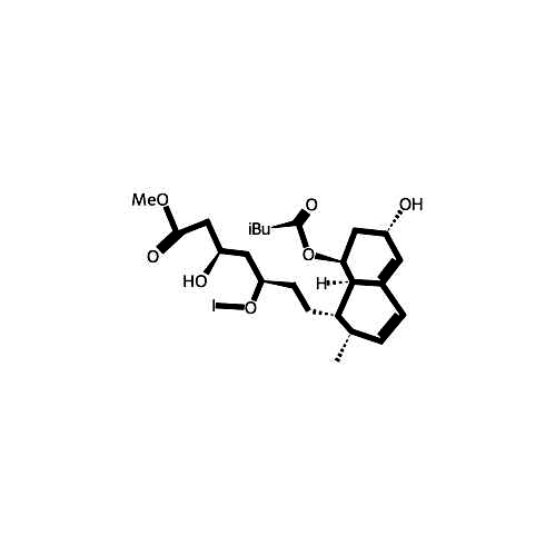 CC[C@H](C)C(=O)O[C@H]1C[C@H](O)C=C2C=C[C@H](C)[C@H](CC[C@H](C[C@@H](O)CC(=O)OC)OI)[C@H]21